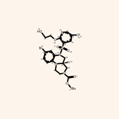 CC(C)(C)OC(=O)N1CCN2c3ccc(Br)cc3N(S(=O)(=O)c3cc(C(F)(F)F)cnc3OCCO)C[C@@H]2C1